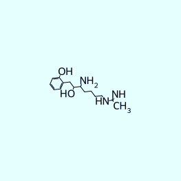 CC(=N)NCCCC[C@H](N)C(O)Cc1ccccc1O